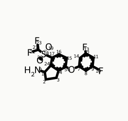 NC1CCc2c(Oc3cc(F)cc(F)c3)ccc(S(=O)(=O)C(F)F)c21